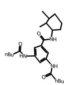 CCCCC(=O)Nc1cc(NC(=O)CCCC)cc(C(=O)NC2CCCC(C)C2C)c1